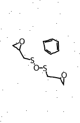 C1OC1CSOSCC1CO1.c1ccccc1